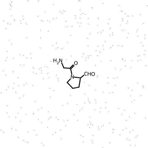 NCC(=O)N1CCCC1C=O